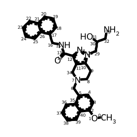 COc1ccc(CN2CCc3c(c(C(=O)NCc4cccc5ccccc45)nn3CC(O)CN)C2)c2ccccc12